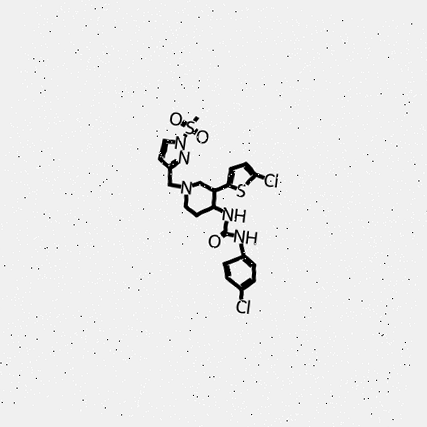 CS(=O)(=O)n1ccc(CN2CCC(NC(=O)Nc3ccc(Cl)cc3)C(c3ccc(Cl)s3)C2)n1